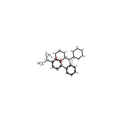 CN(C)c1ccc(-c2ccccc2P(C2CCCCC2)C2CCCCC2)cc1